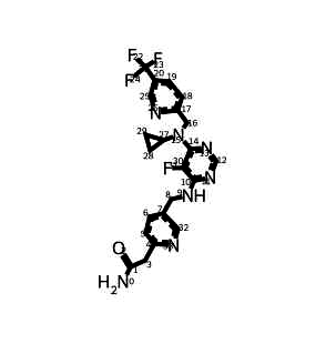 NC(=O)Cc1ccc(CNc2ncnc(N(Cc3ccc(C(F)(F)F)cn3)C3CC3)c2F)cn1